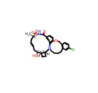 C[C@@H]1C/C=C/C[C@H](O)[C@@H]2CC[C@H]2CN2CCCCc3cc(Cl)ccc3COc3ccc(cc32)C(=O)NS1(=O)=O